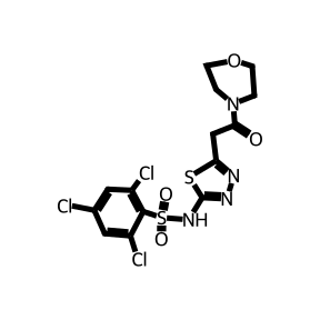 O=C(Cc1nnc(NS(=O)(=O)c2c(Cl)cc(Cl)cc2Cl)s1)N1CCOCC1